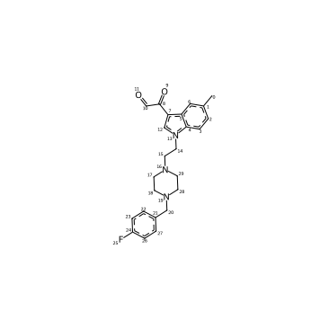 Cc1ccc2c(c1)c(C(=O)C=O)cn2CCN1CCN(Cc2ccc(F)cc2)CC1